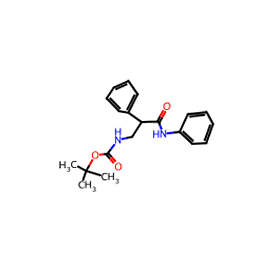 CC(C)(C)OC(=O)NCC(C(=O)Nc1ccccc1)c1ccccc1